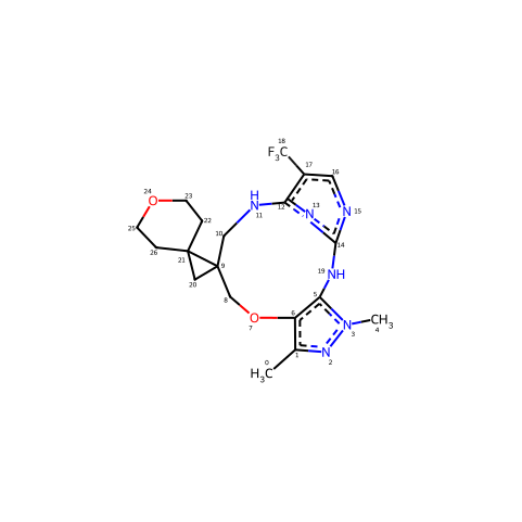 Cc1nn(C)c2c1OCC1(CNc3nc(ncc3C(F)(F)F)N2)CC12CCOCC2